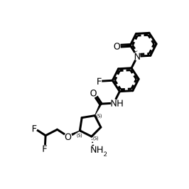 N[C@H]1C[C@H](C(=O)Nc2ccc(-n3ccccc3=O)cc2F)C[C@@H]1OCC(F)F